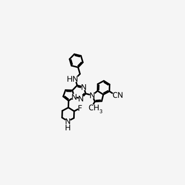 Cc1cc2c(C#N)cccc2n1-c1nc(NCc2ccccc2)c2ccc(C3CCNCC3F)n2n1